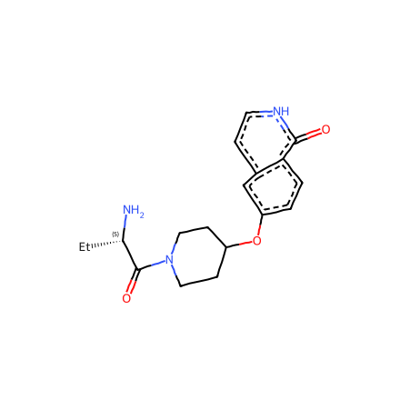 CC[C@H](N)C(=O)N1CCC(Oc2ccc3c(=O)[nH]ccc3c2)CC1